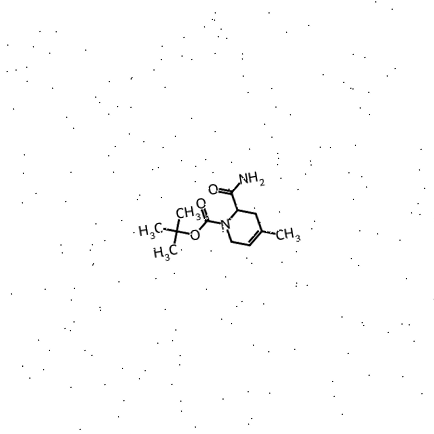 CC1=CCN(C(=O)OC(C)(C)C)C(C(N)=O)C1